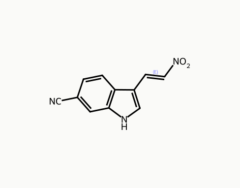 N#Cc1ccc2c(/C=C/[N+](=O)[O-])c[nH]c2c1